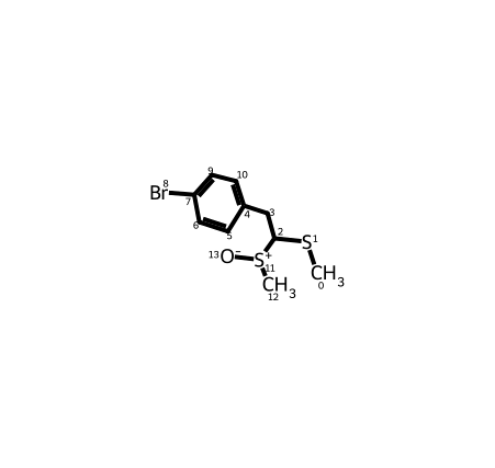 CSC(Cc1ccc(Br)cc1)[S+](C)[O-]